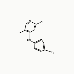 Cc1cnc(Cl)nc1Nc1ccc(N)cc1